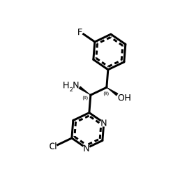 N[C@H](c1cc(Cl)ncn1)[C@H](O)c1cccc(F)c1